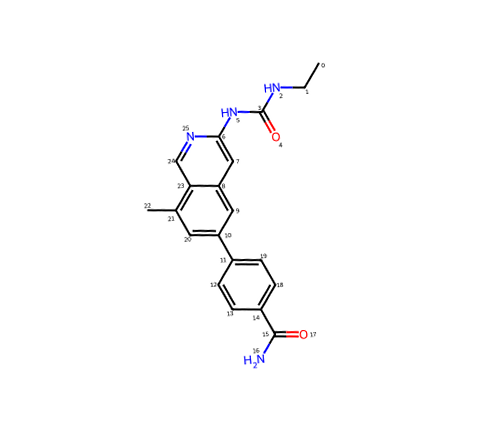 CCNC(=O)Nc1cc2cc(-c3ccc(C(N)=O)cc3)cc(C)c2cn1